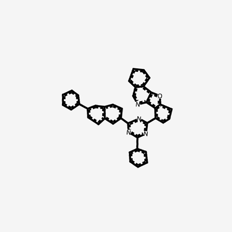 c1ccc(-c2ccc3cc(-c4nc(-c5ccccc5)nc(-c5cccc6oc7c8ccccc8cnc7c56)n4)ccc3c2)cc1